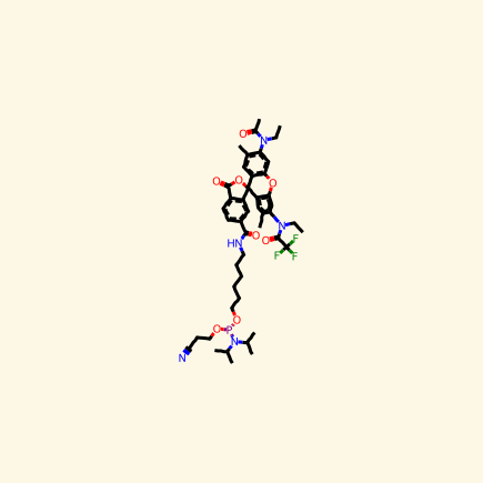 CCN(C(C)=O)c1cc2c(cc1C)C1(OC(=O)c3ccc(C(=O)NCCCCCCOP(OCCC#N)N(C(C)C)C(C)C)cc31)c1cc(C)c(N(CC)C(=O)C(F)(F)F)cc1O2